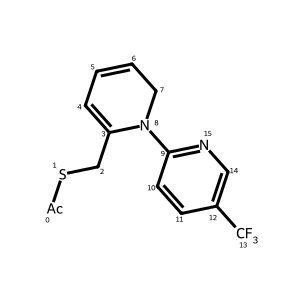 CC(=O)SCC1=CC=CCN1c1ccc(C(F)(F)F)cn1